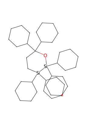 C1CCC(C2(C3CCCCC3)CC[Si](C3CCCCC3)(C3CCCCC3)[Si](C3CCCCC3)(C3CCCCC3)O2)CC1